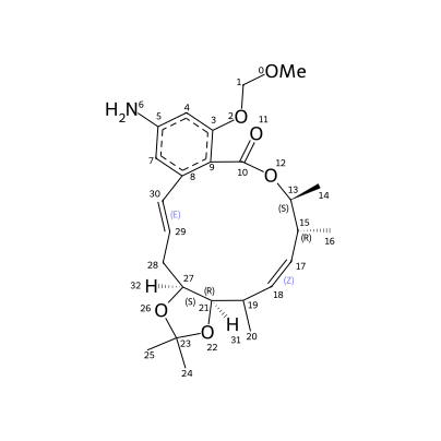 COCOc1cc(N)cc2c1C(=O)O[C@@H](C)[C@H](C)/C=C\C(C)[C@H]1OC(C)(C)O[C@H]1C/C=C/2